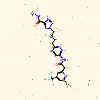 CNC(=O)c1cn(C[C@H](F)CCc2ccc(NC(=O)Cc3cc(C(F)(F)F)cc(C)n3)nn2)nn1